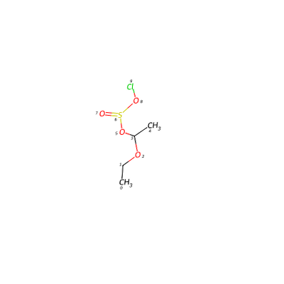 CCOC(C)OS(=O)OCl